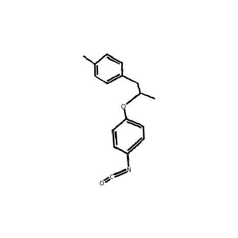 Cc1ccc(CC(C)Oc2ccc(N=C=O)cc2)cc1